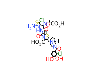 C[C@@H](O/N=C(\C(=O)N[C@@H]1C(=O)N2C(C(=O)O)=C(C[N+]34CCC[C@H]3CN(C(=O)c3ccc(O)c(O)c3Cl)CC4)CS[C@H]12)c1nc(N)sc1Cl)C(=O)O